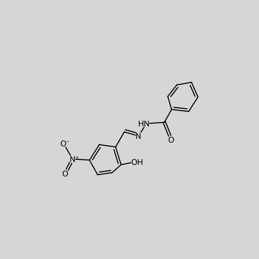 O=C(N/N=C/c1cc([N+](=O)[O-])ccc1O)c1ccccc1